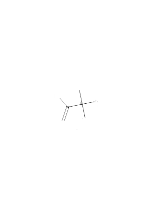 C=C(CC)C(C)(C)N.Cl